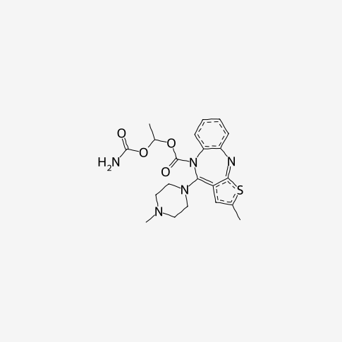 Cc1cc2c(s1)=Nc1ccccc1N(C(=O)OC(C)OC(N)=O)C=2N1CCN(C)CC1